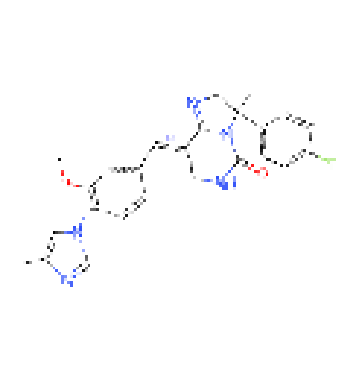 COc1cc(/C=C2\CNC(=O)N3C2=NCC3(C)c2ccc(F)cc2)ccc1-n1cnc(C)c1